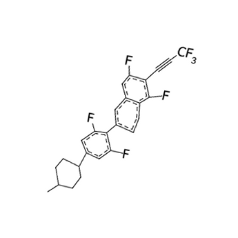 CC1CCC(c2cc(F)c(-c3ccc4c(F)c(C#CC(F)(F)F)c(F)cc4c3)c(F)c2)CC1